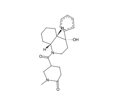 CN1CC(C(=O)N2CC[C@](O)(c3ccccc3)[C@H]3CCCC[C@H]32)CCC1=O